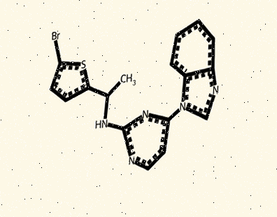 CC(Nc1nccc(-n2cnc3ccccc32)n1)c1ccc(Br)s1